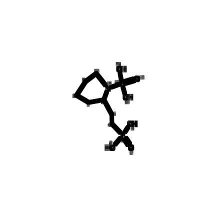 O=P(O)(O)CCC1CCCCN1P(=O)(O)O